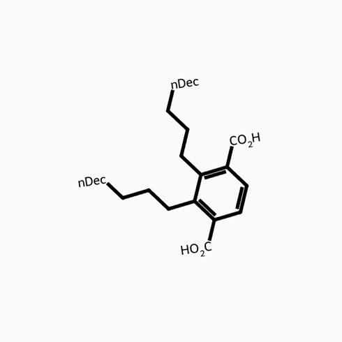 CCCCCCCCCCCCCc1c(C(=O)O)ccc(C(=O)O)c1CCCCCCCCCCCCC